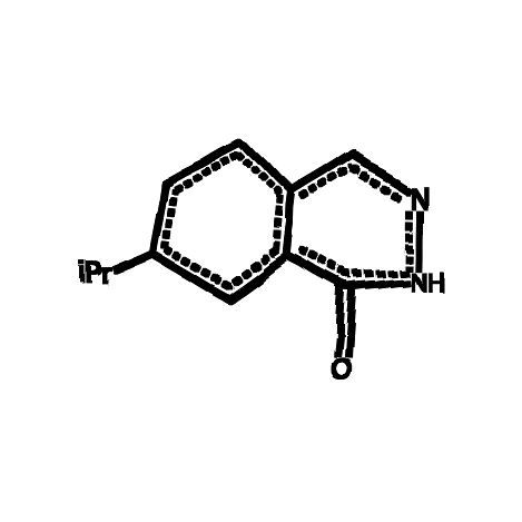 CC(C)c1ccc2cn[nH]c(=O)c2c1